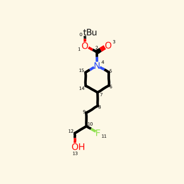 CC(C)(C)OC(=O)N1CCC(CCC(F)CO)CC1